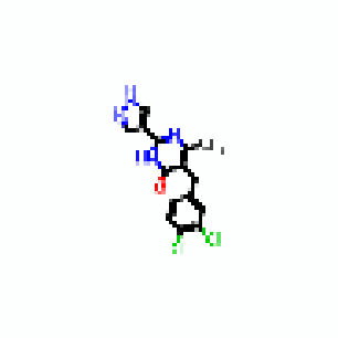 O=c1[nH]c(-c2cn[nH]c2)nc(C(F)(F)F)c1Cc1ccc(Cl)c(Cl)c1